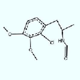 COc1ccc(CC(C)NC=O)c(Cl)c1OC